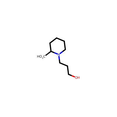 O=C(O)C1CCCCN1CCCO